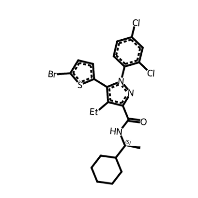 CCc1c(C(=O)N[C@@H](C)C2CCCCC2)nn(-c2ccc(Cl)cc2Cl)c1-c1ccc(Br)s1